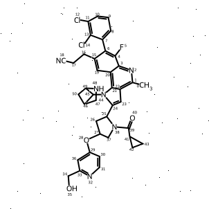 Cc1nc2c(F)c(-c3cccc(Cl)c3Cl)c(CCC#N)cc2c2c1cc(C1CC(Oc3ccnc(CO)c3)CN1C(=O)C1CC1)n2C1C2CNC1C2